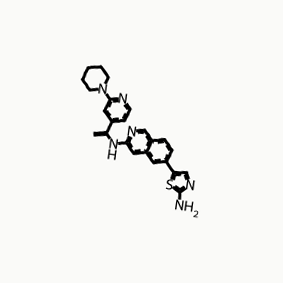 C=C(Nc1cc2cc(-c3cnc(N)s3)ccc2cn1)c1ccnc(N2CCCCC2)c1